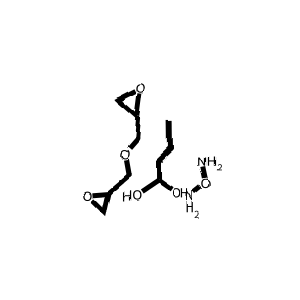 C(OCC1CO1)C1CO1.CCCC(O)O.NON